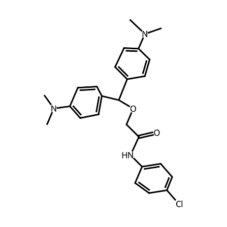 CN(C)c1ccc(C(OCC(=O)Nc2ccc(Cl)cc2)c2ccc(N(C)C)cc2)cc1